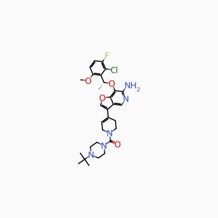 COc1ccc(F)c(Cl)c1[C@@H](C)Oc1c(N)ncc2c(C3=CCN(C(=O)N4CCN(C(C)(C)C)CC4)CC3)coc12